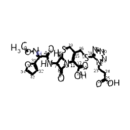 CO/N=C(/C(=O)NC1C(=O)N2C(C(=O)O)=C(CSc3nnnn3CCC(=O)O)CS[C@H]12)c1ccco1